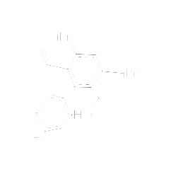 C=Cc1c(C(C)C)cc(C(C)C)c(CO)c1-c1ccc(F)cc1